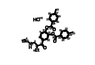 CCC(CNC(C)(C)C)C(=O)c1ccc(OC(=O)c2ccc(C)cc2)c(OC(=O)c2ccc(C)cc2)c1.Cl